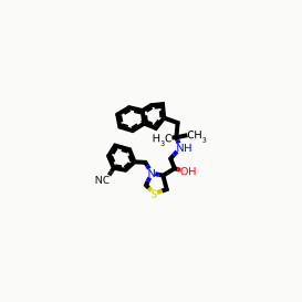 CC(C)(Cc1ccc2ccccc2c1)NCC(O)C1CSCN1Cc1cccc(C#N)c1